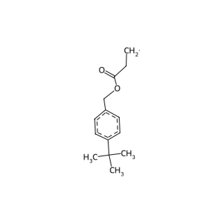 [CH2]CC(=O)OCc1ccc(C(C)(C)C)cc1